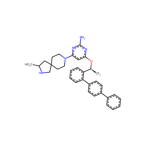 Nc1nc(O[C@H](c2ccccc2-c2ccc(-c3ccccc3)cc2)C(F)(F)F)cc(N2CCC3(CC2)CNC(C(=O)O)C3)n1